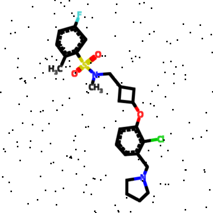 Cc1ccc(F)cc1S(=O)(=O)N(C)CC1CC(Oc2cccc(CN3CCCC3)c2Cl)C1